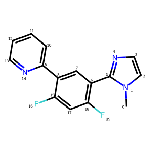 Cn1ccnc1-c1cc(-c2ccccn2)c(F)cc1F